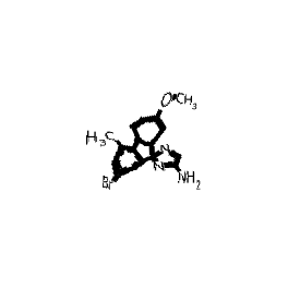 COC1CCC2c3c(C)cc(Br)cc3C3(N=CC(N)=N3)C2C1